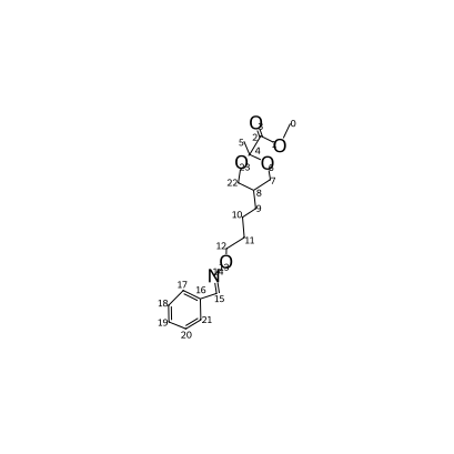 COC(=O)C1(C)OCC(CCCCON=Cc2ccccc2)CO1